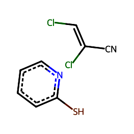 N#CC(Cl)=CCl.Sc1ccccn1